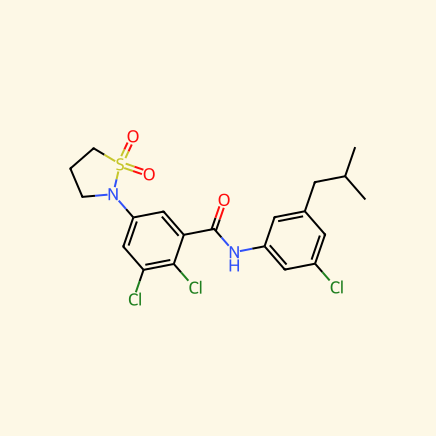 CC(C)Cc1cc(Cl)cc(NC(=O)c2cc(N3CCCS3(=O)=O)cc(Cl)c2Cl)c1